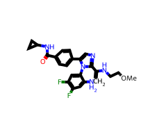 C=C(NCCOC)c1ncc(-c2ccc(C(=O)NC3CC3)cc2)n1-c1cc(F)c(F)cc1N